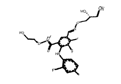 O=C(NOCCO)c1cc(C=NOC[C@H](O)CO)c(F)c(F)c1Nc1ccc(I)cc1F